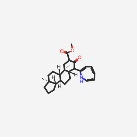 COC(=O)C1C[C@@]2(C)[C@@H](CC[C@H]3[C@@H]4CCC[C@@]4(C)CC[C@@H]32)C(C2=CC=CC=CN2)C1=O